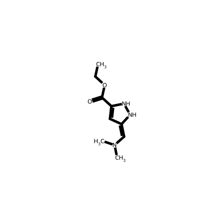 CCOC(=O)C1=CC(=CN(C)C)NN1